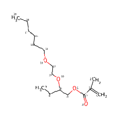 C=C(C)C(=O)OCC(CC)OCCOCCCCCC